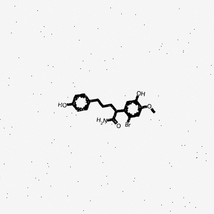 COc1cc(Br)c(C(CCCc2ccc(O)cc2)C(N)=O)cc1O